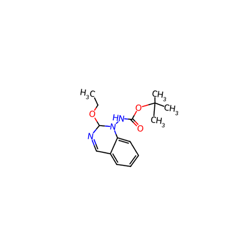 CCOC1N=Cc2ccccc2N1NC(=O)OC(C)(C)C